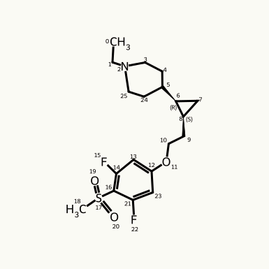 CCN1CCC([C@H]2C[C@H]2CCOc2cc(F)c(S(C)(=O)=O)c(F)c2)CC1